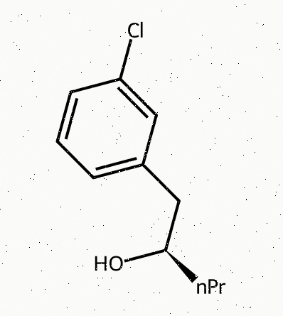 CCC[C@@H](O)Cc1cccc(Cl)c1